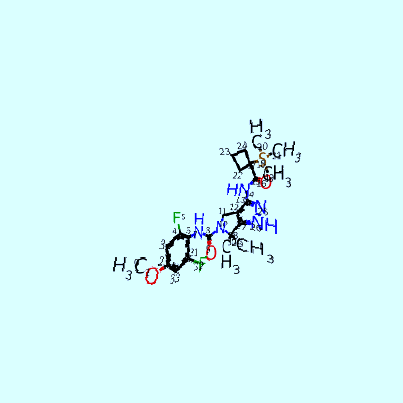 COc1cc(F)c(NC(=O)N2Cc3c(NC(=O)C4(S(C)(C)C)CCC4)n[nH]c3C2(C)C)c(F)c1